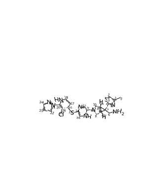 Cc1csc(C2(CN)[C@@H]3CN(C4C=NC(SC5C=CNC(n6cccn6)=C5Cl)=CN4)C[C@@H]32)n1